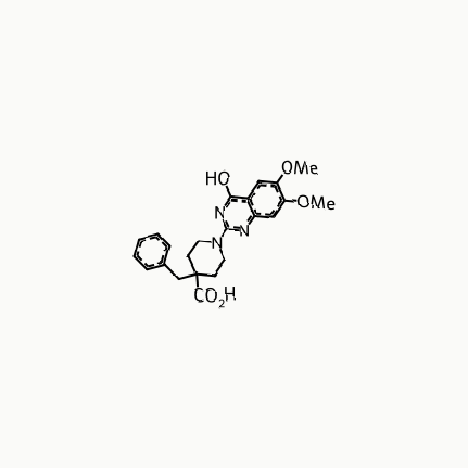 COc1cc2nc(N3CCC(Cc4ccccc4)(C(=O)O)CC3)nc(O)c2cc1OC